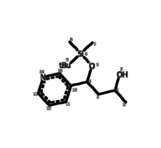 CC(O)CC(O[Si](C)(C)C(C)(C)C)c1cccnc1